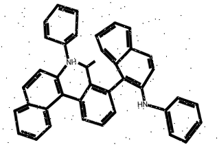 CC(C)c1c(-c2c(Nc3ccccc3)ccc3ccccc23)cccc1-c1c(Nc2ccccc2)ccc2ccccc12